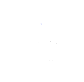 FC(F)(F)Oc1ccccc1-c1noc(C2CC2)c1COC1CCC2(CC1)OCCO2